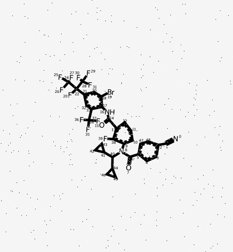 N#Cc1ccc(C(=O)N(c2cccc(C(=O)Nc3c(Br)cc(C(F)(C(F)(F)F)C(F)(F)F)cc3C(F)(F)F)c2F)C(C2CC2)C2CC2)cc1